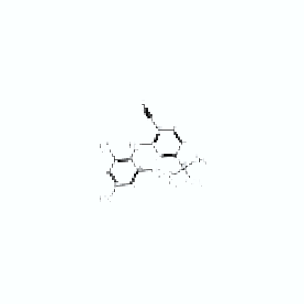 Cc1cc(C)c(Nc2nc(C(C)(C)C)ccc2C#N)c(C)c1